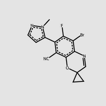 Cn1nccc1-c1c(F)c(Br)c2c(c1C#N)OC1(C=N2)CC1